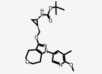 COc1ncc(-n2nc(OC[C@H]3C[C@H]3NC(=O)OC(C)(C)C)c3c2CCOCC3)cc1C